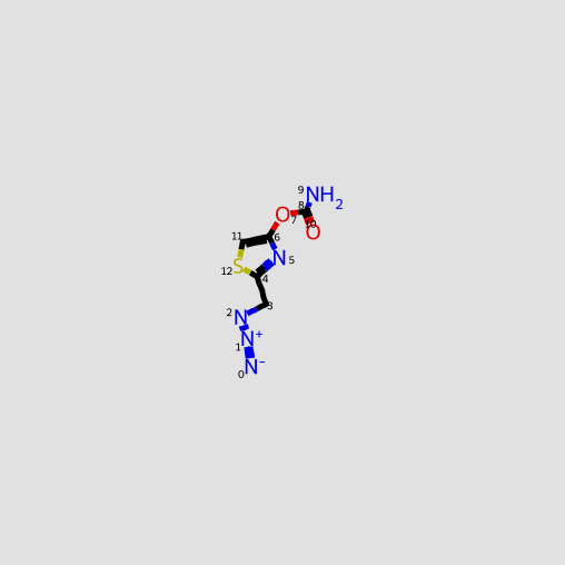 [N-]=[N+]=NCc1nc(OC(N)=O)cs1